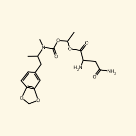 CC(OC(=O)C(N)CC(N)=O)OC(=O)N(C)C(C)Cc1ccc2c(c1)OCO2